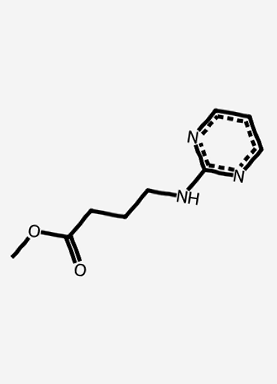 COC(=O)CCCNc1ncccn1